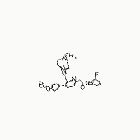 CCOc1ccc(-c2ccc(CC(=O)NCc3cccc(F)c3)nc2CN2CCN(C)CC2)cc1